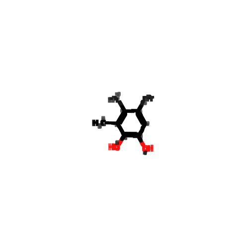 CCCc1cc(O)c(O)c(C)c1CCC